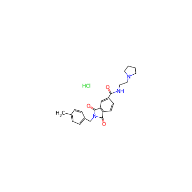 Cc1ccc(CN2C(=O)c3ccc(C(=O)NCCN4CCCC4)cc3C2=O)cc1.Cl